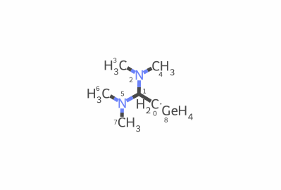 [CH2]C(N(C)C)N(C)C.[GeH4]